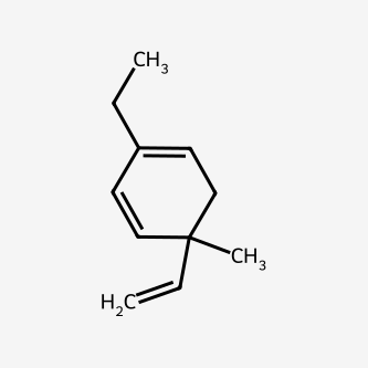 C=CC1(C)C=CC(CC)=CC1